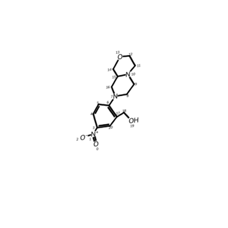 O=[N+]([O-])c1ccc(N2CCN3CCOCC3C2)c(CO)c1